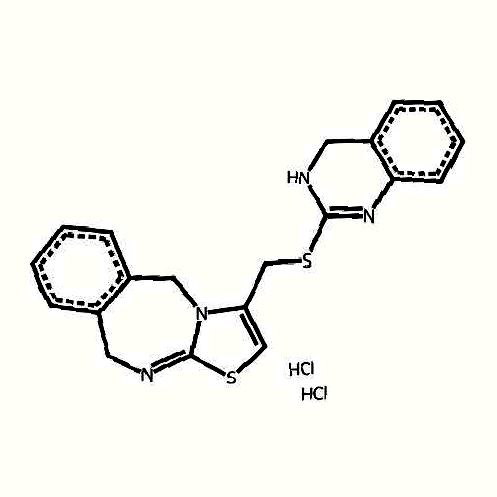 C1=C(CSC2=Nc3ccccc3CN2)N2Cc3ccccc3CN=C2S1.Cl.Cl